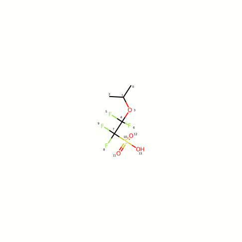 CC(C)OC(F)(F)C(F)(F)S(=O)(=O)O